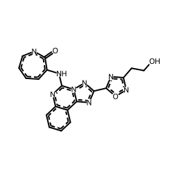 O=c1nccccc1Nc1nc2ccccc2c2nc(-c3nc(CCO)no3)nn12